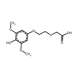 COc1cc(OCCSCC(=O)O)cc(OC)c1O